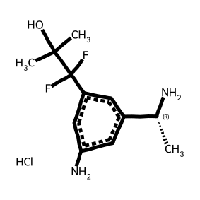 C[C@@H](N)c1cc(N)cc(C(F)(F)C(C)(C)O)c1.Cl